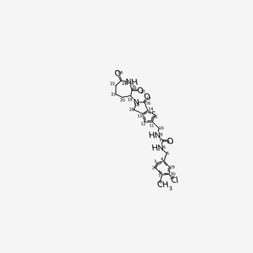 Cc1ccc(CNC(=O)NCc2cc3c(s2)C(=O)N(C2CCCC(=O)NC2=O)C3)cc1Cl